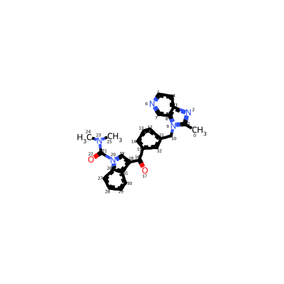 Cc1nc2ccncc2n1Cc1cccc(C(=O)c2cn(C(=O)N(C)C)c3ccccc23)c1